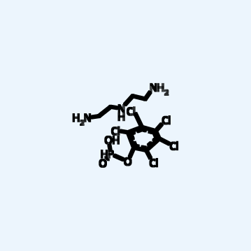 NCCNCCN.O=[PH](O)Oc1c(Cl)c(Cl)c(Cl)c(Cl)c1Cl